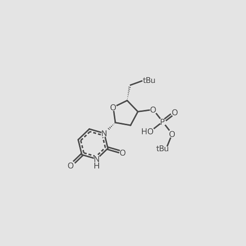 CC(C)(C)C[C@H]1O[C@@H](n2ccc(=O)[nH]c2=O)CC1OP(=O)(O)OC(C)(C)C